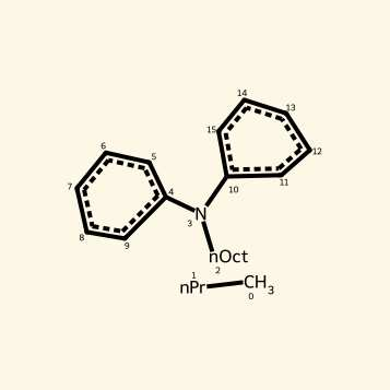 CCCC.CCCCCCCCN(c1ccccc1)c1ccccc1